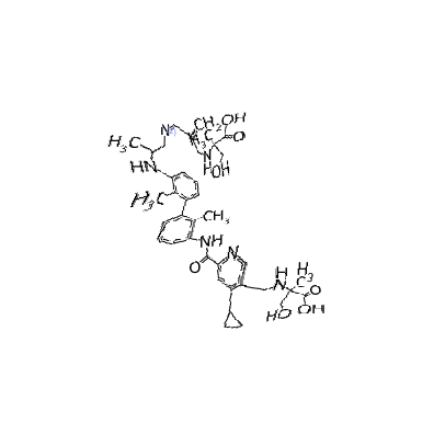 C=C(/C=N\CC(C)Nc1cccc(-c2cccc(NC(=O)c3cc(C4CC4)c(CNC(C)(CO)C(=O)O)cn3)c2C)c1C)CNC(C)(CO)C(=O)O